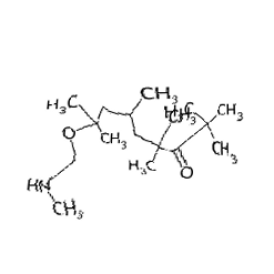 CNCOC(C)(C)CC(C)CC(C)(C)C(=O)C(C)(C)C